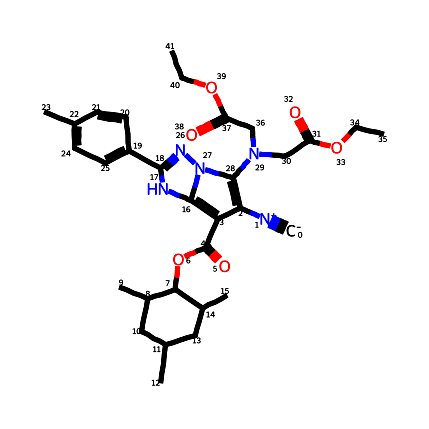 [C-]#[N+]c1c(C(=O)OC2C(C)CC(C)CC2C)c2[nH]c(-c3ccc(C)cc3)nn2c1N(CC(=O)OCC)CC(=O)OCC